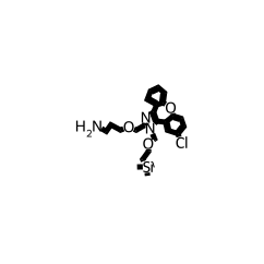 C[Si](C)(C)CCOCn1c(COCCCN)nc2c1-c1cc(Cl)ccc1Oc1ccccc1-2